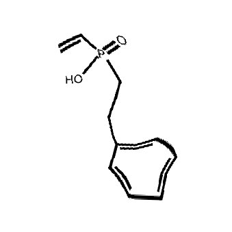 C=CP(=O)(O)CCc1ccccc1